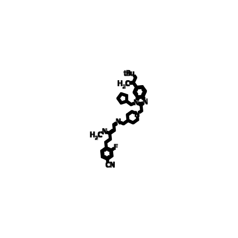 C=N/C(=C\C=N/CC1CCN(Cc2nc3ccc(C(=C)CC(C)(C)C)cc3n2CC2CCCC2)CC1)CCc1ccc(C#N)cc1F